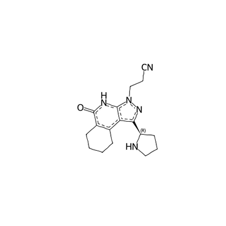 N#CCCn1nc([C@H]2CCCN2)c2c3c(c(=O)[nH]c21)CCCC3